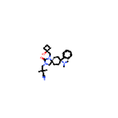 CN(C)[C@]1(c2ccccc2)CC[C@@]2(CC1)CN(CC(C)(C)C#N)C(=O)N2CC1(O)CCC1